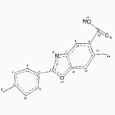 Cc1ccc(-c2nc3cc(C(=O)O)c(C)cc3o2)cc1